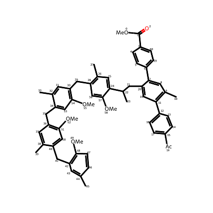 COC(=O)c1ccc(-c2cc(C)c(-c3ccc(C(C)=O)cc3)cc2CC(C)c2cc(C)c(Cc3cc(C)c(Cc4cc(C)c(Cc5cc(C)ccc5OC)cc4OC)cc3OC)cc2OC)cc1